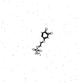 NS(=O)(=O)OCCOc1ccc(Cl)c(Cl)c1